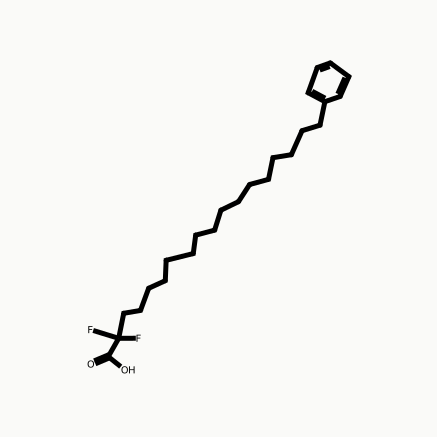 O=C(O)C(F)(F)CCCCCCCCCCCCCCCCc1ccccc1